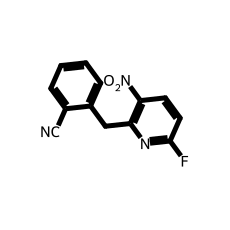 N#Cc1ccccc1Cc1nc(F)ccc1[N+](=O)[O-]